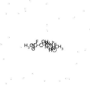 Cn1cc(F)c(-c2ccc(-c3ncc(N(C4CC4)[C@H]4C[C@@H]5CCC[C@@](C)(N5)[C@H]4F)nn3)c(O)c2)cc1=O